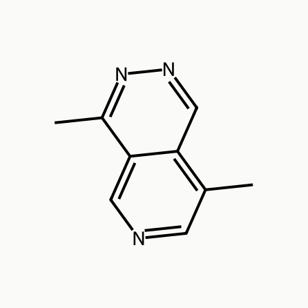 Cc1cncc2c(C)nncc12